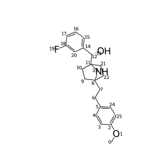 COc1ccc(CCC23CCC([C@@H](O)c4cccc(F)c4)(CC2)N3)cc1